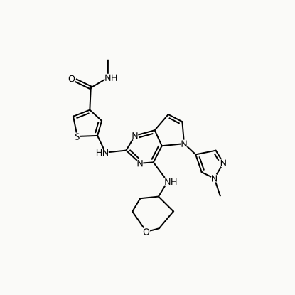 CNC(=O)c1csc(Nc2nc(NC3CCOCC3)c3c(ccn3-c3cnn(C)c3)n2)c1